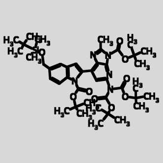 Cc1nc2c(-c3cc4cc(CO[Si](C)(C)C(C)(C)C)ccc4n3C(=O)OC(C)(C)C)cc(N(C(=O)OC(C)(C)C)C(=O)OC(C)(C)C)nc2n1C(=O)OC(C)(C)C